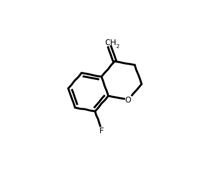 C=C1CCOc2c(F)cccc21